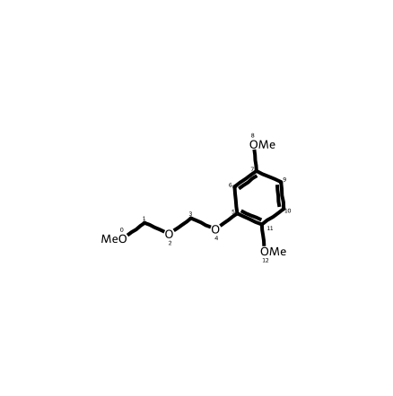 COCOCOc1cc(OC)ccc1OC